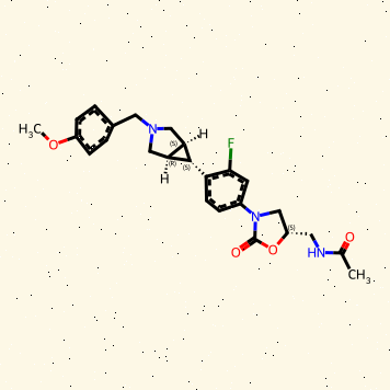 COc1ccc(CN2C[C@@H]3[C@H](C2)[C@H]3c2ccc(N3C[C@H](CNC(C)=O)OC3=O)cc2F)cc1